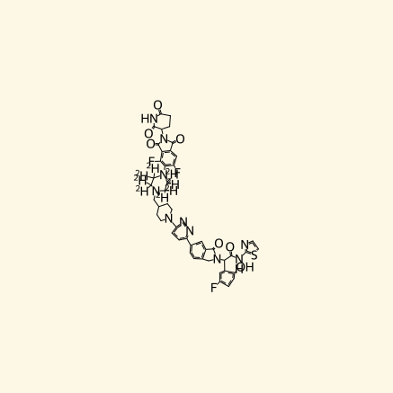 [2H]C1([2H])N(CC2CCN(c3ccc(-c4ccc5c(c4)C(=O)N(C(C(=O)Nc4nccs4)c4cc(F)ccc4O)C5)nn3)CC2)C([2H])([2H])C([2H])([2H])N(c2c(F)cc3c(c2F)C(=O)N(C2CCC(=O)NC2=O)C3=O)C1([2H])[2H]